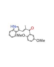 COc1ccc(OC)c(C(=O)/C(C)=C/c2c[nH]c3ccccc23)c1